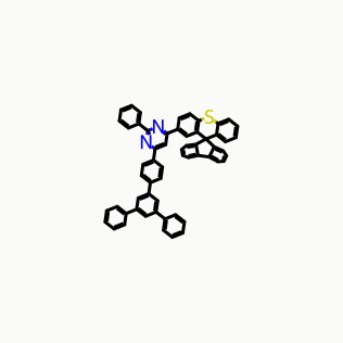 c1ccc(-c2cc(-c3ccccc3)cc(-c3ccc(-c4cc(-c5ccc6c(c5)C5(c7ccccc7S6)c6ccccc6-c6ccccc65)nc(-c5ccccc5)n4)cc3)c2)cc1